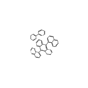 c1ccc(-c2ccccc2)cc1.c1ccc2c(-c3c4ccccc4c(-c4cccc5ccccc45)c4ccccc34)cccc2c1